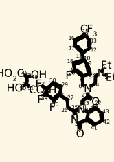 CCN(CC)CCN(Cc1ccc(-c2ccc(C(F)(F)F)cc2)cc1F)C(=O)Cn1c(CCc2ccc(F)c(F)c2F)nc(=O)c2ccccc21.O=C(O)C(O)C(O)C(=O)O